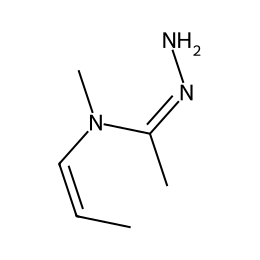 C/C=C\N(C)/C(C)=N\N